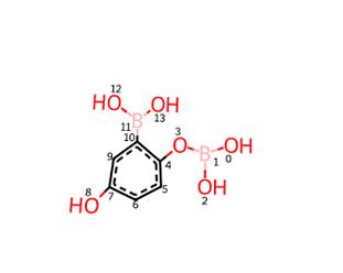 OB(O)Oc1ccc(O)cc1B(O)O